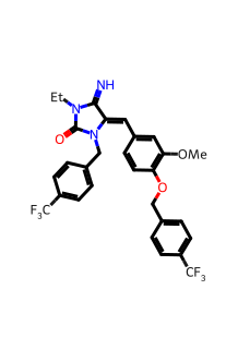 CCN1C(=N)/C(=C/c2ccc(OCc3ccc(C(F)(F)F)cc3)c(OC)c2)N(Cc2ccc(C(F)(F)F)cc2)C1=O